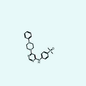 CP(C)(=O)c1ccc(Nc2cc(N3CCN(c4ccccc4)CC3)ncn2)cc1